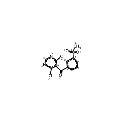 CS(=O)(=O)c1cccc(C(=O)c2c(Cl)ncnc2Cl)c1